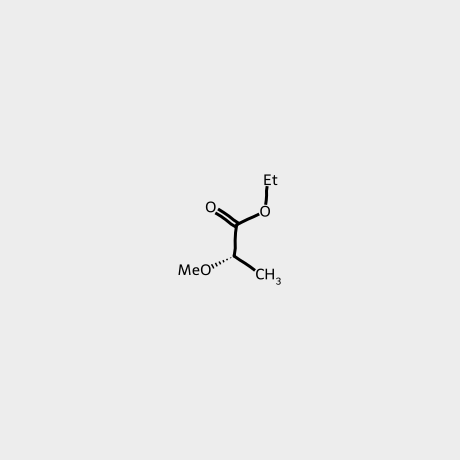 CCOC(=O)[C@H](C)OC